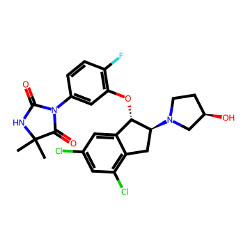 CC1(C)NC(=O)N(c2ccc(F)c(O[C@H]3c4cc(Cl)cc(Cl)c4C[C@@H]3N3CC[C@@H](O)C3)c2)C1=O